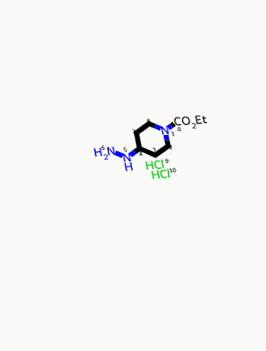 CCOC(=O)N1CCC(NN)CC1.Cl.Cl